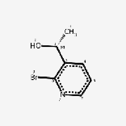 C[C@@H](O)c1cccnc1Br